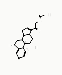 CC(=O)OCC(=O)C1=CCC2C3C[C@H](F)C4=CC(=O)C=C[C@]4(C)[C@@]3(F)[C@@H](O)C[C@]12C